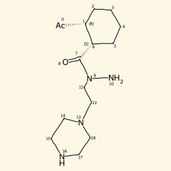 CC(=O)[C@@H]1CCCC[C@@H]1C(=O)N(N)CCN1CCNCC1